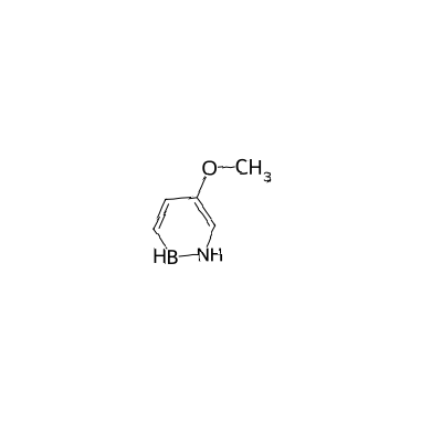 COC1=CNBC=C1